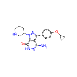 Nc1n[nH]c(=O)c2c1c(-c1ccc(OC3CC3)cc1)nn2[C@@H]1CCCNC1